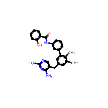 COc1cc(Cc2cnc(N)nc2N)cc(-c2cccc(NC(=O)c3ccccc3O)c2)c1OC